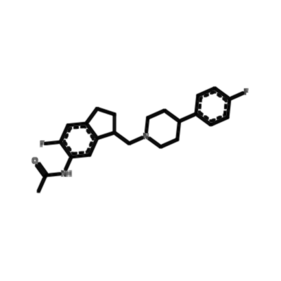 CC(=O)Nc1cc2c(cc1F)CCC2CN1CCC(c2ccc(F)cc2)CC1